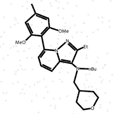 CCCCN(CC1CCOCC1)c1c(CC)nn2c(-c3c(OC)cc(C)cc3OC)cccc12